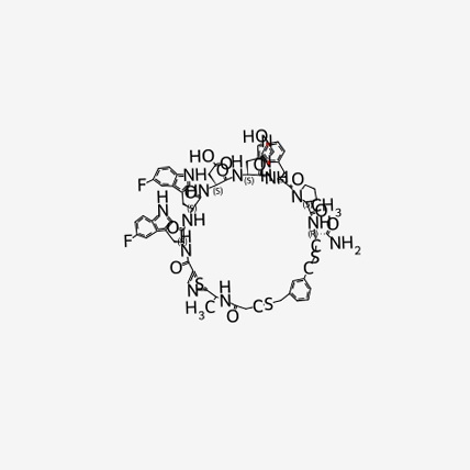 CC1NC(=O)CCSCc2cccc(c2)CSC[C@@H](C(N)=O)NC(=O)[C@]2(C)CCCN2C(=O)[C@H](Cc2ccc(O)cc2)NC(=O)[C@H](Cc2cnc[nH]2)NC(=O)[C@H](CC(=O)O)NC(=O)[C@H](Cc2c[nH]c3ccc(F)cc23)NC(=O)[C@H](Cc2c[nH]c3ccc(F)cc23)NC(=O)c2cnc1s2